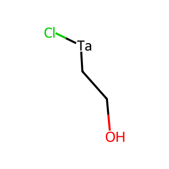 OC[CH2][Ta][Cl]